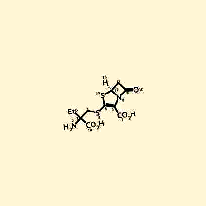 CCC(N)(CSC1=C(C(=O)O)N2C(=O)C[C@@H]2S1)C(=O)O